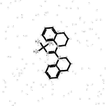 CC(C)(C)N=C(N1CCCc2ccccc21)N1CCCc2ccccc21